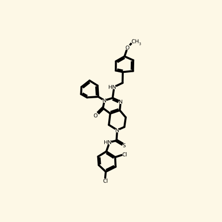 COc1ccc(CNc2nc3c(c(=O)n2-c2ccccc2)CN(C(=S)Nc2ccc(Cl)cc2Cl)CC3)cc1